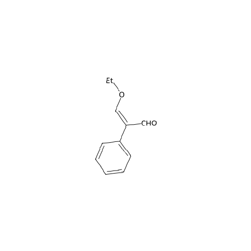 CCOC=C(C=O)c1ccccc1